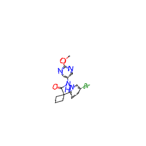 COc1ncc(NC(=O)C2(c3ccc(Br)cn3)CCC2)cn1